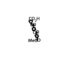 COC(=O)c1ccc(C(=O)Oc2ccc(C(=O)OC3CCC(C(=O)O)CC3)cc2)cc1